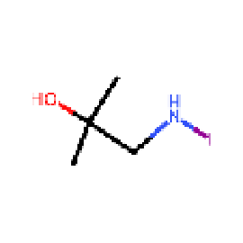 CC(C)(O)CNI